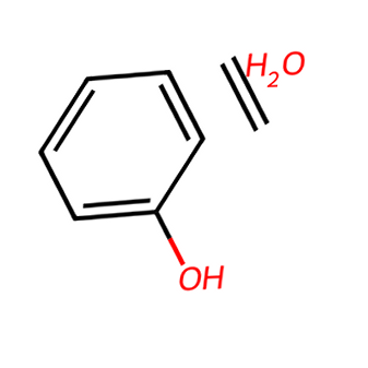 C=C.O.Oc1ccccc1